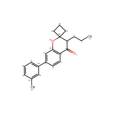 N#CCCC1C(=O)c2ccc(-c3cccc(C#N)c3)cc2OC12CCC2